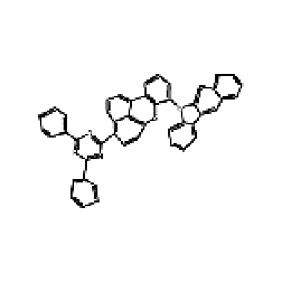 c1ccc(-c2nc(-c3ccccc3)nc(-c3ccc4c5c(cccc35)-c3cccc(-n5c6ccccc6c6cc7ccccc7cc65)c3S4)n2)cc1